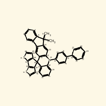 CC1(C)c2ccccc2-c2cc3c(cc21)N(c1ccc(-c2ccccc2)cc1)c1ccccc1C31c2ccsc2-c2sccc21